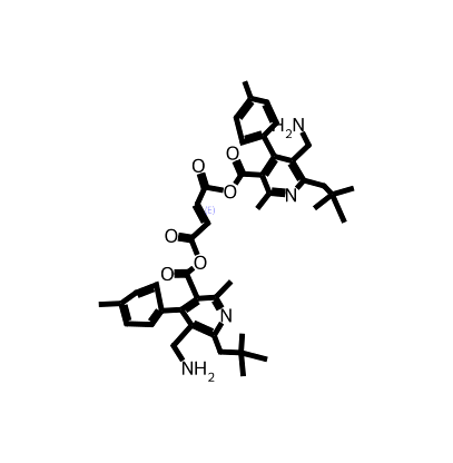 Cc1ccc(-c2c(CN)c(CC(C)(C)C)nc(C)c2C(=O)OC(=O)/C=C/C(=O)OC(=O)c2c(C)nc(CC(C)(C)C)c(CN)c2-c2ccc(C)cc2)cc1